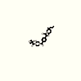 CCCC1(C)CCc2nc(-c3ccc(C(=O)N4CCN(C(=O)C5(N)COC5)CC4)cc3)c(Cl)n2C1